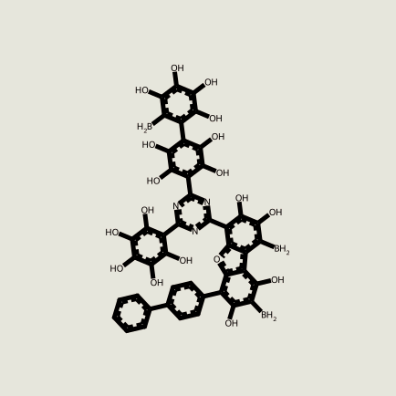 Bc1c(O)c(O)c(O)c(O)c1-c1c(O)c(O)c(-c2nc(-c3c(O)c(O)c(O)c(O)c3O)nc(-c3c(O)c(O)c(B)c4c3oc3c(-c5ccc(-c6ccccc6)cc5)c(O)c(B)c(O)c34)n2)c(O)c1O